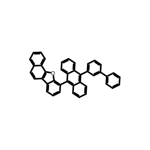 c1ccc(-c2cccc(-c3c4ccccc4c(-c4cccc5c4oc4c6ccccc6ccc54)c4ccccc34)c2)cc1